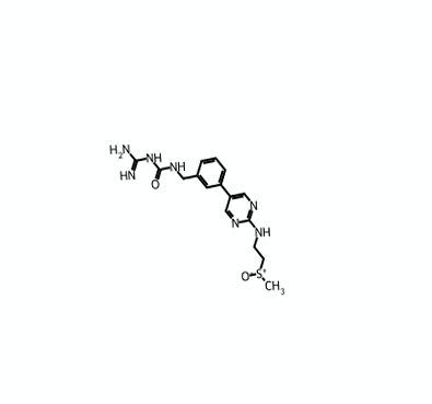 C[S+]([O-])CCNc1ncc(-c2cccc(CNC(=O)NC(=N)N)c2)cn1